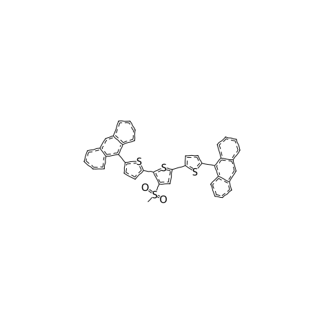 CS(=O)(=O)c1cc(-c2ccc(-c3c4ccccc4cc4ccccc34)s2)sc1-c1ccc(-c2c3ccccc3cc3ccccc23)s1